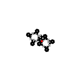 O=C(c1cccc2c3nc4nc(nc5[nH]c(nc6nc(nc([nH]3)c12)-c1ccccc1-6)c1ccccc51)-c1ccccc1-4)c1cccc2c3nc4nc(nc5[nH]c(nc6nc(nc([nH]3)c12)-c1ccccc1-6)c1ccccc51)-c1ccccc1-4